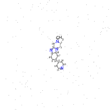 CN1CCn2c(nc3ccc(-c4ccncc4)cc32)C1